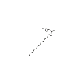 C=C(COCC)OCCCCCCCCCCCC